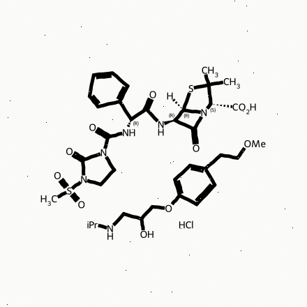 CC1(C)S[C@@H]2[C@H](NC(=O)[C@H](NC(=O)N3CCN(S(C)(=O)=O)C3=O)c3ccccc3)C(=O)N2[C@H]1C(=O)O.COCCc1ccc(OCC(O)CNC(C)C)cc1.Cl